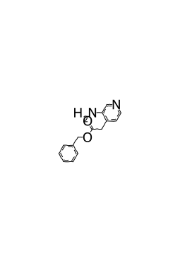 Nc1cnccc1CC(=O)OCc1ccccc1